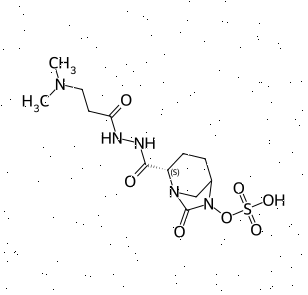 CN(C)CCC(=O)NNC(=O)[C@@H]1CCC2CN1C(=O)N2OS(=O)(=O)O